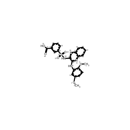 COc1ccc(OC)c(Nc2nc3ccccc3nc2NS(=O)(=O)c2cccc(C(=O)O)c2)c1